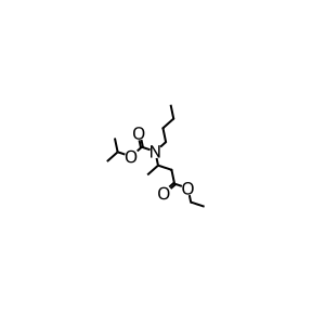 CCCCN(C(=O)OC(C)C)C(C)CC(=O)OCC